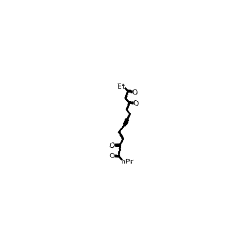 CCCC(=O)CC(=O)CCC#CCCC(=O)CC(=O)CC